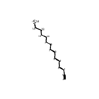 C#CCCCCCCCCCCCC[S]